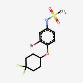 CS(=O)(=O)Nc1ccc(OC2CCC(F)(F)CC2)c(Br)c1